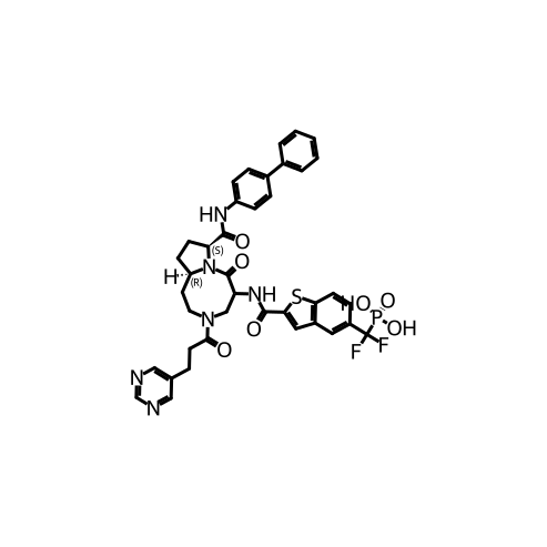 O=C(NC1CN(C(=O)CCc2cncnc2)CC[C@H]2CC[C@@H](C(=O)Nc3ccc(-c4ccccc4)cc3)N2C1=O)c1cc2cc(C(F)(F)P(=O)(O)O)ccc2s1